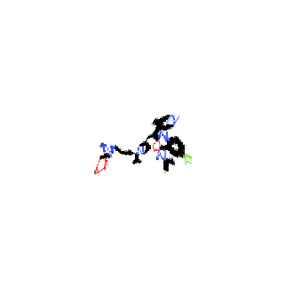 COCCN(C)CCC[C@H](C(C)C)N1CC[C@H](Cc2cn(-c3ccc(F)cc3C(=O)N(C)C(C)C)c3cncc(C)c23)C1